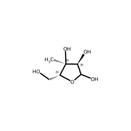 C[C@@]1(O)[C@@H](CO)OC(O)[C@@H]1O